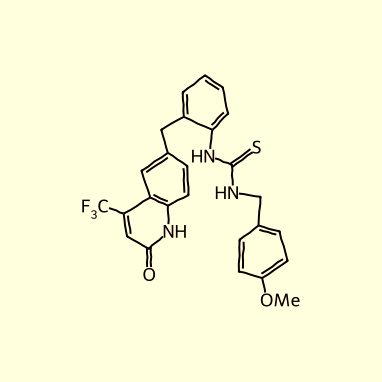 COc1ccc(CNC(=S)Nc2ccccc2Cc2ccc3[nH]c(=O)cc(C(F)(F)F)c3c2)cc1